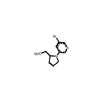 COCC1CCCN1c1cncc(Br)c1